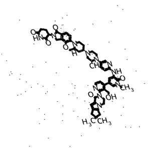 C[C@H]1CN([C@H]2CCN3c4ccc5c(c4OC[C@@H]3C2)CN(C2CCC(=O)NC2=O)C5=O)CCN1c1ccc(Nc2cc(-c3ccnc(N4CCn5c(cc6c5CC(C)(C)C6)C4=O)c3CO)cn(C)c2=O)nc1